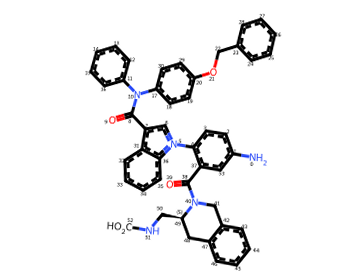 Nc1ccc(-n2cc(C(=O)N(c3ccccc3)c3ccc(OCc4ccccc4)cc3)c3ccccc32)c(C(=O)N2Cc3ccccc3C[C@H]2CNC(=O)O)c1